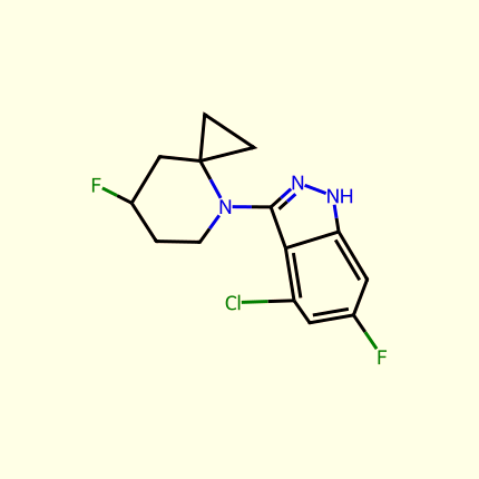 Fc1cc(Cl)c2c(N3CCC(F)CC34CC4)n[nH]c2c1